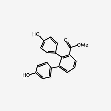 COC(=O)c1cccc(-c2ccc(O)cc2)c1-c1ccc(O)cc1